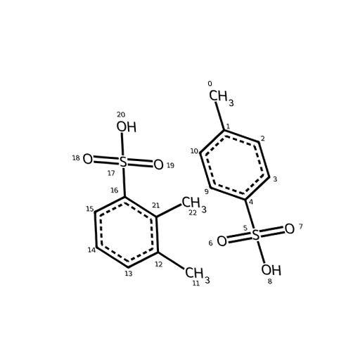 Cc1ccc(S(=O)(=O)O)cc1.Cc1cccc(S(=O)(=O)O)c1C